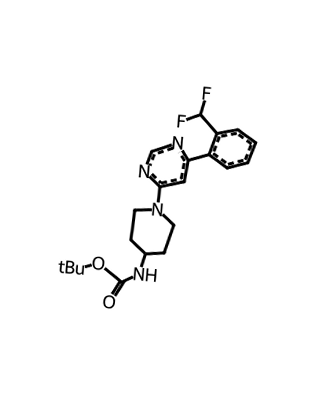 CC(C)(C)OC(=O)NC1CCN(c2cc(-c3ccccc3C(F)F)ncn2)CC1